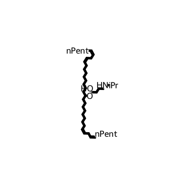 CCCCC/C=C\C/C=C\CCCCCCCCC(CCCCCCCC/C=C\C/C=C\CCCCC)OC(O)CCCNC(C)C